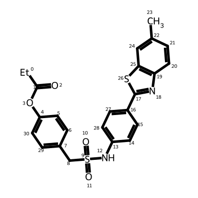 CCC(=O)Oc1ccc(CS(=O)(=O)Nc2ccc(-c3nc4ccc(C)cc4s3)cc2)cc1